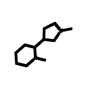 CN1CCC(C2CCCCN2C)C1